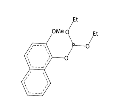 CCOP(OCC)Oc1c(OC)ccc2ccccc12